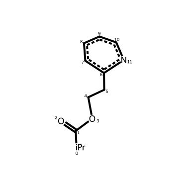 CC(C)C(=O)OCCc1ccccn1